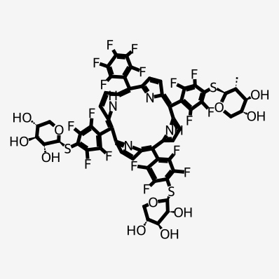 C[C@@H]1[C@@H](O)[C@H](O)CO[C@H]1Sc1c(F)c(F)c(-c2c3nc(c(-c4c(F)c(F)c(F)c(F)c4F)c4ccc([nH]4)c(-c4c(F)c(F)c(S[C@@H]5OC[C@@H](O)[C@H](O)[C@H]5O)c(F)c4F)c4nc(c(-c5c(F)c(F)c(S[C@@H]6OC[C@@H](O)[C@H](O)[C@H]6O)c(F)c5F)c5ccc2[nH]5)C=C4)C=C3)c(F)c1F